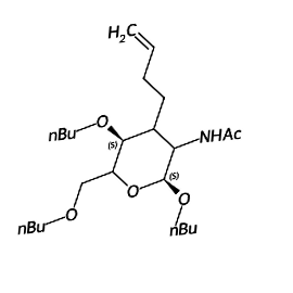 C=CCCC1C(NC(C)=O)[C@@H](OCCCC)OC(COCCCC)[C@H]1OCCCC